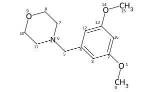 COc1cc(CN2CCOCC2)cc(OC)c1